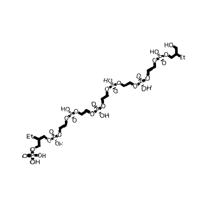 CCC(CO)COP(=O)(O)OCCOP(=O)(O)OCCOP(=O)(O)OCCOP(=O)(O)OCCOP(=O)(O)OCCOP(=O)(O)OCC(CC)COP(=O)(O)O